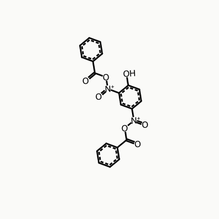 O=C(O[N+](=O)c1ccc(O)c([N+](=O)OC(=O)c2ccccc2)c1)c1ccccc1